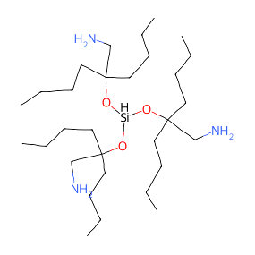 CCCCC(CN)(CCCC)O[SiH](OC(CN)(CCCC)CCCC)OC(CN)(CCCC)CCCC